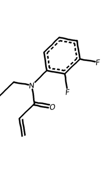 C=CC(=O)N(CC)c1cccc(F)c1F